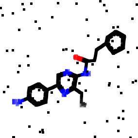 CC(C)Cc1nc(-c2ccc(N)cc2)cnc1NC(=O)CCc1ccccc1